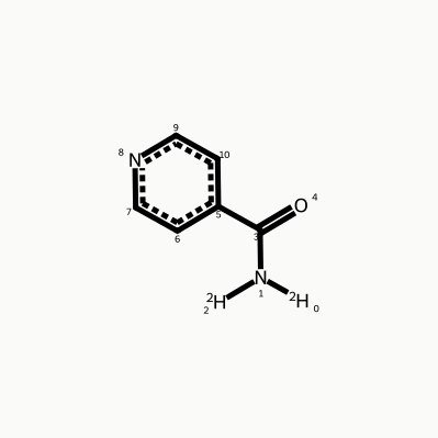 [2H]N([2H])C(=O)c1ccncc1